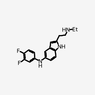 CCNCCc1cc2cc(Nc3ccc(F)c(F)c3)ccc2[nH]1